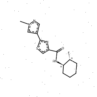 Cn1cc(-c2nc(C(=O)N[C@@H]3CCCC[C@H]3F)cs2)cn1